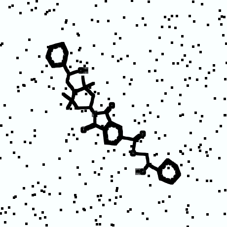 CC1(C)CC(N2C(=O)c3ccc(C(=O)OCC(O)c4ccccc4)cc3C2=O)CC(C)(C)N1CC(O)c1ccccc1